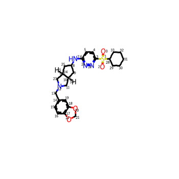 O=S(=O)(c1ccc(NC2C[C@@H]3CN(Cc4ccc5c(c4)OCO5)C[C@@H]3C2)nn1)C1CCCCC1